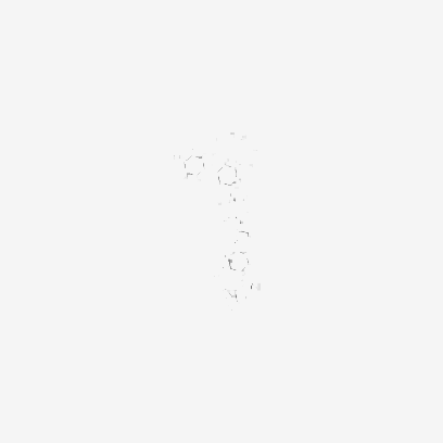 C/C=C1\C2=C(C)CC1(N)c1ccc(OC(=O)N3CCN(c4cc(-c5ccc(F)cc5)c5c(n4)CCCCCC5)CC3)nc1C2